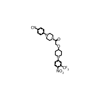 [C-]#[N+]c1ccc(N2CCN(C(=O)COC3CCN(c4ccc([N+](=O)[O-])c(C(F)(F)F)c4)CC3)CC2)cc1